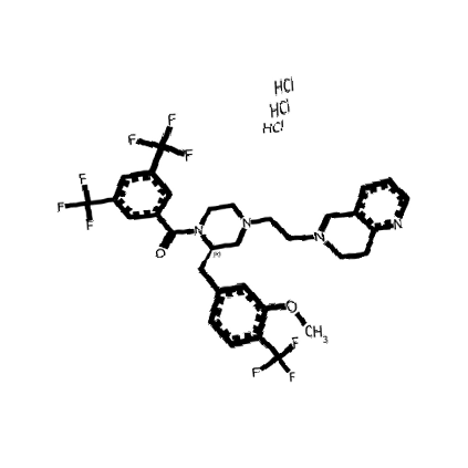 COc1cc(C[C@@H]2CN(CCN3CCc4ncccc4C3)CCN2C(=O)c2cc(C(F)(F)F)cc(C(F)(F)F)c2)ccc1C(F)(F)F.Cl.Cl.Cl